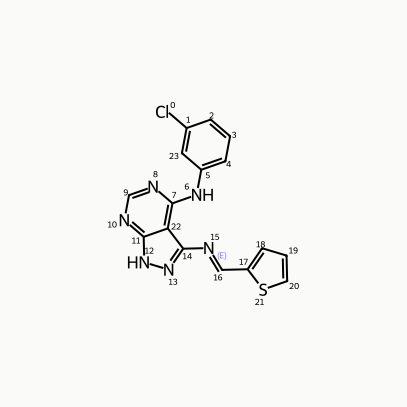 Clc1cccc(Nc2ncnc3[nH]nc(/N=C/c4cccs4)c23)c1